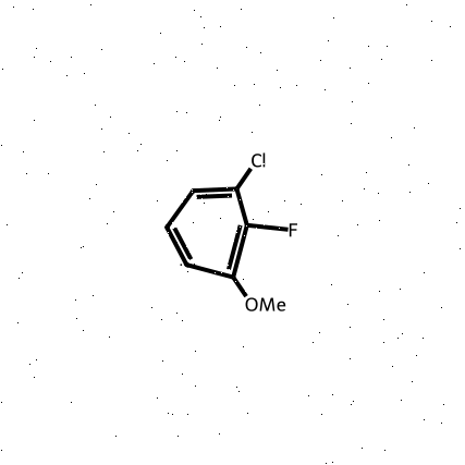 COc1[c]ccc(Cl)c1F